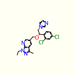 CCn1nc(C)c2cc(COC(Cn3ccnc3)c3ccc(Cl)cc3Cl)cnc21